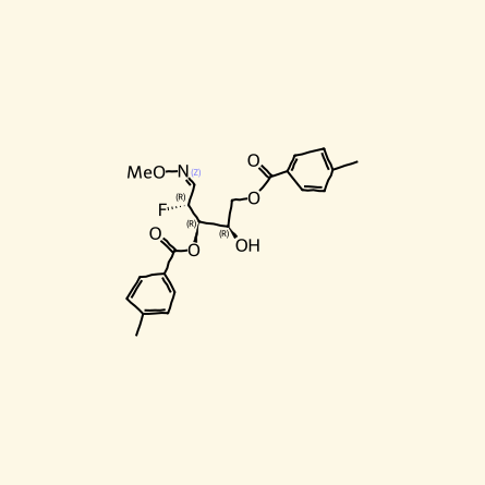 CO/N=C\[C@@H](F)[C@H](OC(=O)c1ccc(C)cc1)[C@H](O)COC(=O)c1ccc(C)cc1